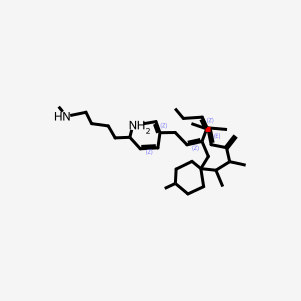 C=C(/C=C/C)C(C)C(C)C1(CC(=C/CC(/C=C\C(N)CCCCNC)=C/C)/C(C)=C\CC)CCC(C)CC1